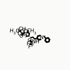 CC(C)(C)OC(=O)N1C[C@@H](CCC(NC(=O)C(F)(F)F)c2cc[n+](Cc3ccccc3)cc2)CC1(C)C